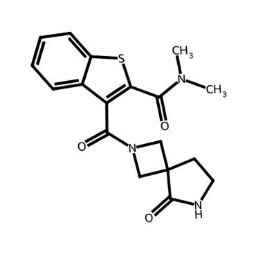 CN(C)C(=O)c1sc2ccccc2c1C(=O)N1CC2(CCNC2=O)C1